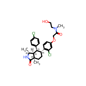 C[C@H]1NC(=O)[C@]2(C)CC[C@@H](c3ccc(OCC(=O)N(C)CCO)cc3Cl)[C@H](c3ccc(Cl)cc3)[C@H]12